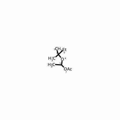 CCC(C)(C)OC(C)OC(C)=O